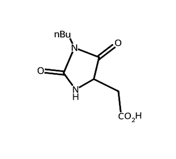 CCCCN1C(=O)NC(CC(=O)O)C1=O